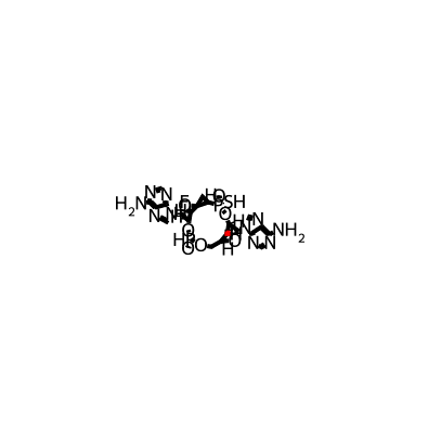 Nc1ncnc2c1ncn2[C@@H]1O[C@@H]2CO[PH](=O)O[C@H]3[C@H](n4cnc5c(N)ncnc54)OC4(C[C@@H]4[P@@](=O)(S)O[C@@H]1[C@@H]2F)[C@H]3F